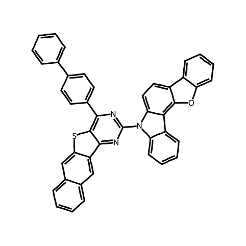 c1ccc(-c2ccc(-c3nc(-n4c5ccccc5c5c6oc7ccccc7c6ccc54)nc4c3sc3cc5ccccc5cc34)cc2)cc1